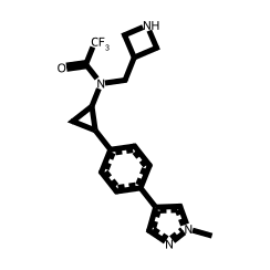 Cn1cc(-c2ccc(C3CC3N(CC3CNC3)C(=O)C(F)(F)F)cc2)cn1